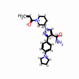 C=CC(=O)N1CCC[C@@H](n2cc(C(N)=O)c(-c3ccc(N4CCCC4)cc3)n2)C1